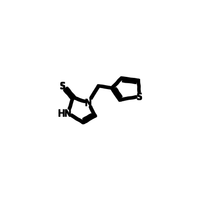 S=c1[nH]ccn1Cc1ccsc1